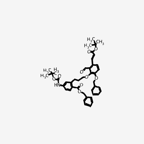 CC(C)(C)OC(=O)/C=C/c1ccc(OCc2ccccc2)c(OCCCc2cc(NC(=O)OC(C)(C)C)ccc2C(=O)OCc2ccccc2)c1C=O